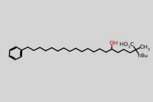 CCCCC(C)(CCCC(O)CCCCCCCCCCCCCCc1ccccc1)C(=O)O